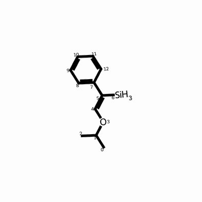 CC(C)OC=C([SiH3])c1ccccc1